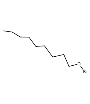 CCCCCCCCCOBr